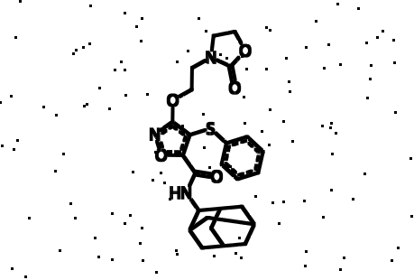 O=C(NC1C2CC3CC(C2)CC1C3)c1onc(OCCN2CCOC2=O)c1Sc1ccccc1